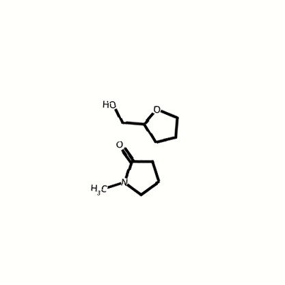 CN1CCCC1=O.OCC1CCCO1